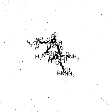 CC(=N)NCCCCC(=O)Nc1cc(C(F)(F)F)cc(NC(=O)c2cc(C(=O)Nc3cc(C(F)(F)F)cc(NC(=O)CCCCNC(=N)N)c3SCCNC(=O)CN)ncn2)c1SCCCC(=O)CN